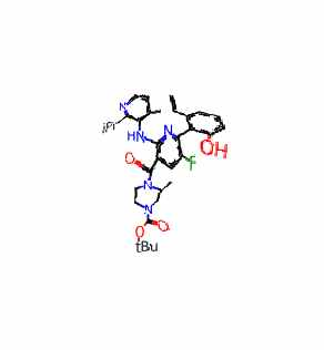 C=Cc1cccc(O)c1-c1nc(Nc2c(C)ccnc2C(C)C)c(C(=O)N2CCN(C(=O)OC(C)(C)C)C[C@@H]2C)cc1F